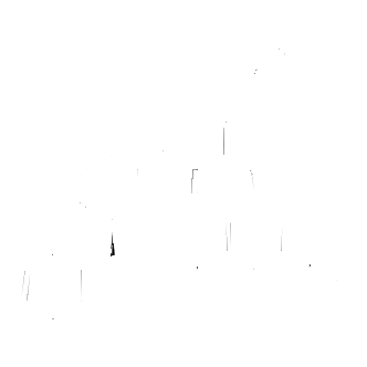 NC(=O)CNC(C(=O)N[C@H]1CCN[C@H](Cc2ccccc2)C1)C(=O)c1cc(C(F)(F)F)cc(C(F)(F)F)c1